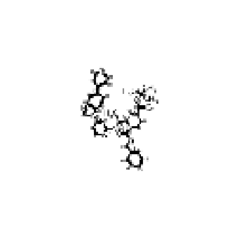 C[C@H](Nc1nccc(-n2cnc3cc(-c4ccncc4)ccc32)n1)[C@@H]1CN(C(=O)OC(C)(C)C)CCN1C(=O)OCc1ccccc1